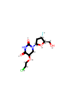 O=C1NC(=O)N([C@H]2C[C@H](F)[C@@H](CO)O2)CC1OCCCl